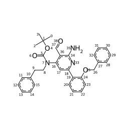 CC(C)(C)OC(=O)N(CCc1ccccc1)c1cc(-c2ccccc2OCc2ccccc2)nc(N)c1C=O